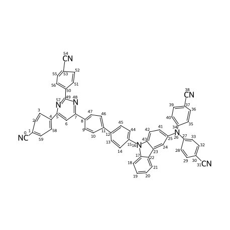 N#Cc1ccc(-c2cc(-c3ccc(-c4ccc(-n5c6ccccc6c6cc(N(c7ccc(C#N)cc7)c7ccc(C#N)cc7)ccc65)cc4)cc3)nc(-c3ccc(C#N)cc3)n2)cc1